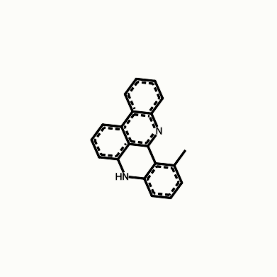 Cc1cccc2c1-c1nc3ccccc3c3cccc(c13)N2